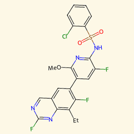 CCc1c(F)c(-c2cc(F)c(NS(=O)(=O)c3ccccc3Cl)nc2OC)cc2cnc(F)nc12